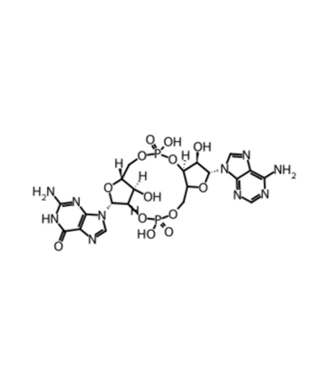 Nc1nc2c(ncn2[C@@H]2O[C@@H]3COP(=O)(O)O[C@@H]4C(COP(=O)(O)O[C@@H]2[C@@H]3O)O[C@@H](n2cnc3c(N)ncnc32)[C@@H]4O)c(=O)[nH]1